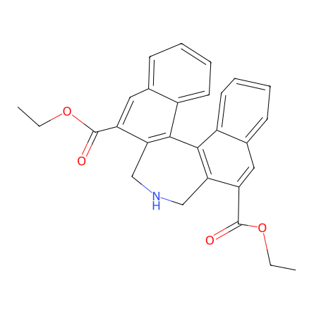 CCOC(=O)c1cc2ccccc2c2c1CNCc1c(C(=O)OCC)cc3ccccc3c1-2